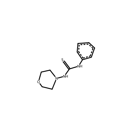 S=C(Nc1ccccc1)NN1CCOCC1